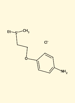 CC[S+](C)CCOc1ccc(N)cc1.[Cl-]